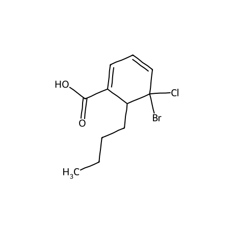 CCCCC1C(C(=O)O)=CC=CC1(Cl)Br